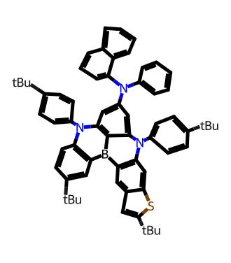 CC(C)(C)c1ccc(N2c3ccc(C(C)(C)C)cc3B3c4cc5cc(C(C)(C)C)sc5cc4N(c4ccc(C(C)(C)C)cc4)c4cc(N(c5ccccc5)c5cccc6ccccc56)cc2c43)cc1